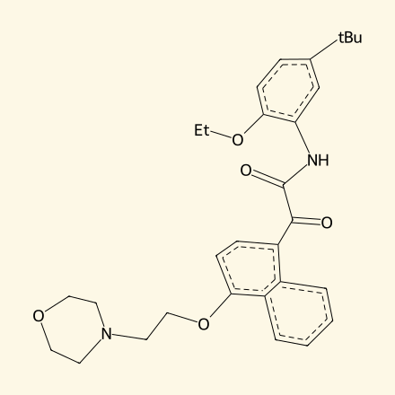 CCOc1ccc(C(C)(C)C)cc1NC(=O)C(=O)c1ccc(OCCN2CCOCC2)c2ccccc12